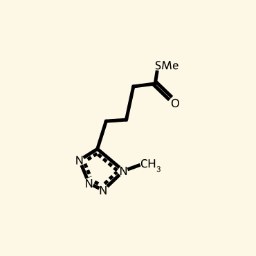 CSC(=O)CCCc1nnnn1C